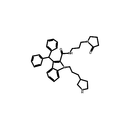 O=C(NCCCN1CCCC1=O)c1c(C(c2ccccc2)c2ccccc2)c2ccccc2n1CCCC1CCNC1